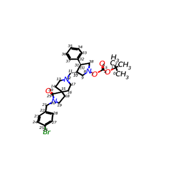 CC(C)(C)OC(=O)ON1C[C@H](CN2CCC3(CC2)CCN(Cc2ccc(Br)cc2)C3=O)[C@@H](c2ccccc2)C1